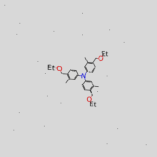 CCOCc1ccc(N(c2ccc(COCC)c(C)c2)c2ccc(COCC)c(C)c2)cc1C